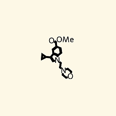 COC(=O)c1ccc2c(c1)c(C1CC1)cn2CCN1CCOCC1